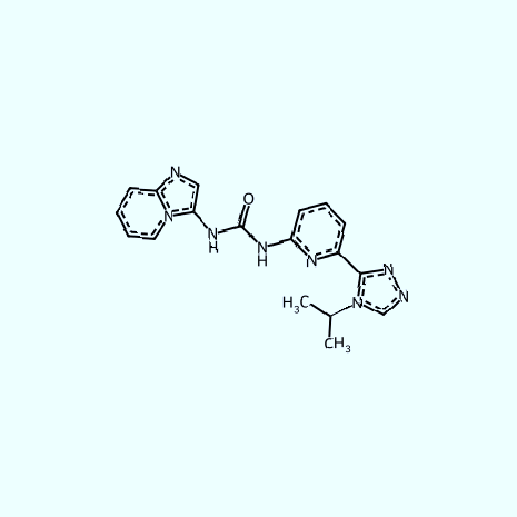 CC(C)n1cnnc1-c1cccc(NC(=O)Nc2cnc3ccccn23)n1